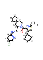 Cc1nc(C(=O)N2CCC3(CCCC3)CC2CNc2ccc(Cl)cn2)c(-c2ccccc2)s1